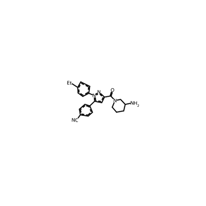 CCc1ccc(-n2nc(C(=O)N3CCCC(N)C3)cc2-c2ccc(C#N)cc2)cc1